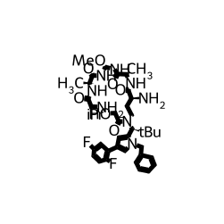 COC(NC(=O)[C@H](C)NC(=O)[C@@H](N)C(C)C)NC(=O)[C@@H](C)NC(=O)[C@@H](N)CCN(C(=O)CO)[C@@H](c1cc(-c2cc(F)ccc2F)cn1Cc1ccccc1)C(C)(C)C